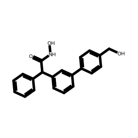 O=C(NO)C(c1ccccc1)c1cccc(-c2ccc(CO)cc2)c1